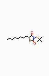 CCCCCCCCC1SC(=O)N(SC(C)(C)C)C1=O